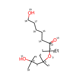 CCC(C)(OC(C)(C)CC(C)(C)O)C(=O)CCCCCO